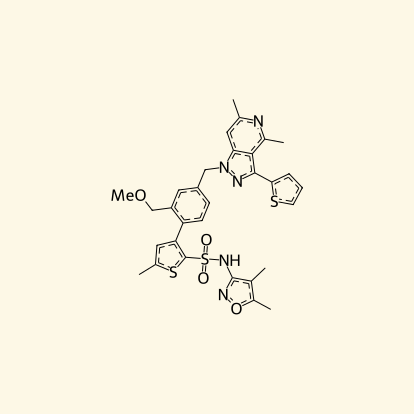 COCc1cc(Cn2nc(-c3cccs3)c3c(C)nc(C)cc32)ccc1-c1cc(C)sc1S(=O)(=O)Nc1noc(C)c1C